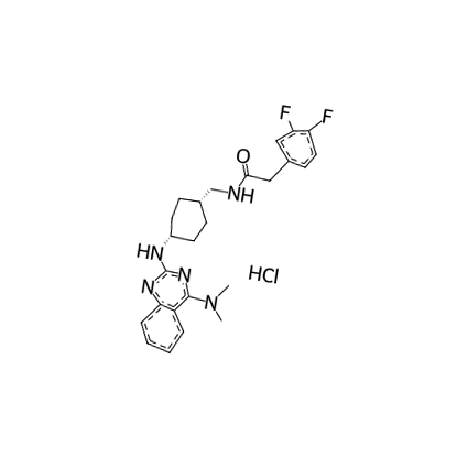 CN(C)c1nc(N[C@H]2CC[C@@H](CNC(=O)Cc3ccc(F)c(F)c3)CC2)nc2ccccc12.Cl